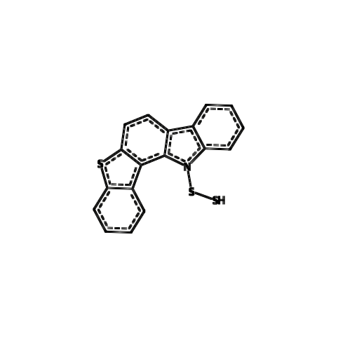 SSn1c2ccccc2c2ccc3sc4ccccc4c3c21